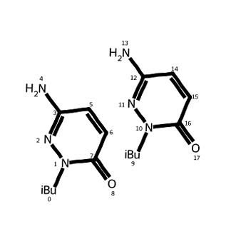 CCC(C)n1nc(N)ccc1=O.CCC(C)n1nc(N)ccc1=O